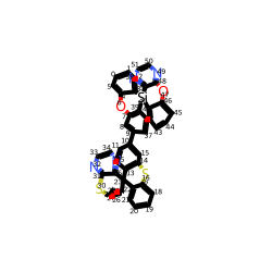 c1ccc2c(c1)Oc1cc(-c3ccc4c(c3)Sc3ccccc3C43c4ccccc4Sc4nccnc43)ccc1[Si]21c2ccccc2Oc2nccnc21